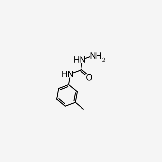 Cc1cccc(NC(=O)NN)c1